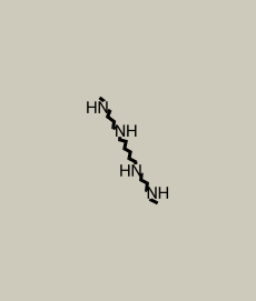 CCNCCCCNCCCCCCNCCCCNCC